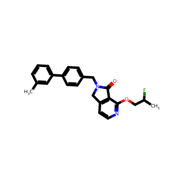 Cc1cccc(-c2ccc(CN3Cc4ccnc(OCC(C)F)c4C3=O)cc2)c1